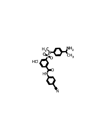 CC(N)c1ccc(N(C)S(=O)(=O)c2cccc(C(=O)Nc3ccc(C#N)cc3)c2)cc1.Cl